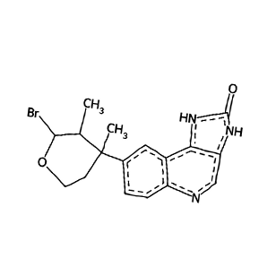 CC1C(Br)OCCC1(C)c1ccc2ncc3[nH]c(=O)[nH]c3c2c1